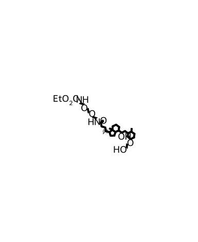 CCOC(=O)NCCOCCOCCNC(=O)CC[C@@H](C)C1CCC2C(C(O)CC3CC(OCCO)CCC3C)CCCC21C